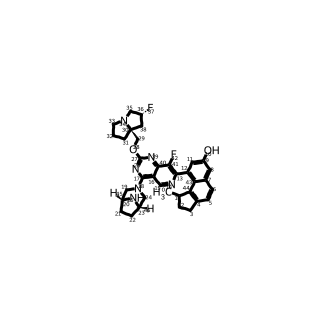 CC1CCc2ccc3cc(O)cc(-c4ncc5c(N6C[C@H]7CC[C@@H](C6)N7)nc(OC[C@@]67CCCN6C[C@H](F)C7)nc5c4F)c3c21